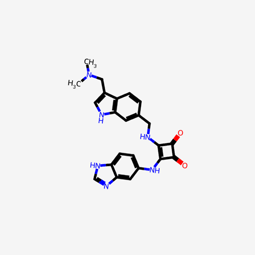 CN(C)Cc1c[nH]c2cc(CNc3c(Nc4ccc5[nH]cnc5c4)c(=O)c3=O)ccc12